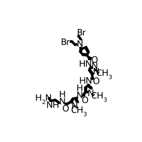 Cn1cc(NC(=O)c2cc(NC(=O)c3cc(NC(=O)c4ccc(N(CCBr)CCBr)cc4)nn3C)cn2C)cc1C(=O)NCCC(=N)N